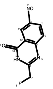 O=Nc1ccc2nc(CF)[nH]c(=O)c2c1